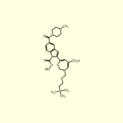 CN1CCN(C(=O)c2ccc3c(c2)cc(C2=CC(C(=O)O)=CN(COCC[Si](C)(C)C)CO2)n3C(=O)OC(C)(C)C)CC1